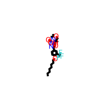 CCCCCCCCOc1ccc(-c2nnc(C3(C)COC(C)(C)N3C(=O)O)o2)cc1C(F)(F)F